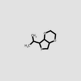 CC(C)C1SCC2OCCOC21